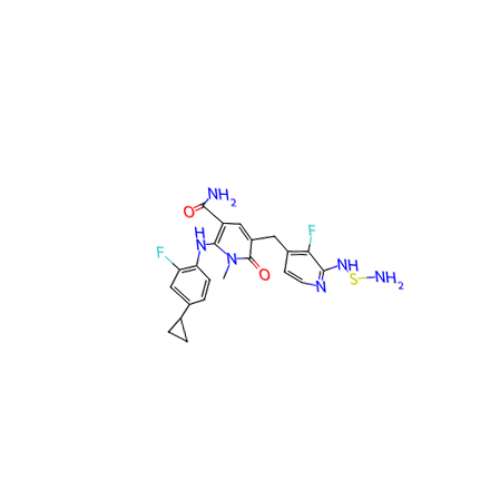 Cn1c(Nc2ccc(C3CC3)cc2F)c(C(N)=O)cc(Cc2ccnc(NSN)c2F)c1=O